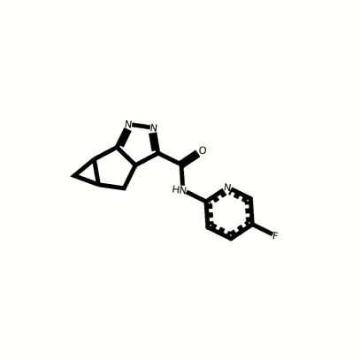 O=C(Nc1ccc(F)cn1)C1=NN=C2C1CC1CC21